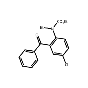 CCOC(=O)N(CC)c1ccc(Cl)cc1C(=O)c1ccccc1